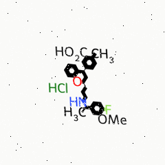 COc1cc([C@@H](C)NCCC[C@H]2C[C@@H](c3ccc(C)c(C(=O)O)c3)c3ccccc3O2)ccc1F.Cl